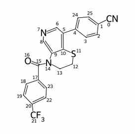 N#Cc1ccc(-c2cncc3c2SCCN3C(=O)c2ccc(C(F)(F)F)cc2)cc1